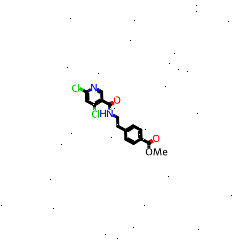 COC(=O)c1ccc(CCNC(=O)c2cnc(Cl)cc2Cl)cc1